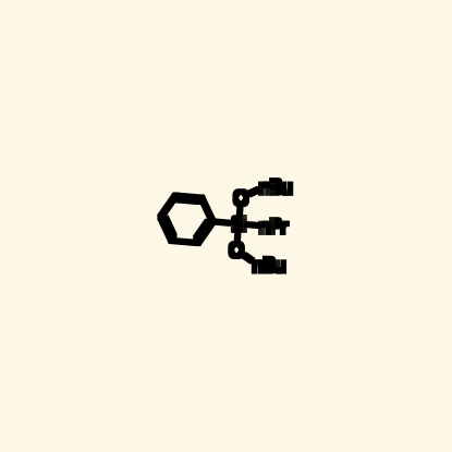 CCCCO[Si](CCC)(OCCCC)c1ccccc1